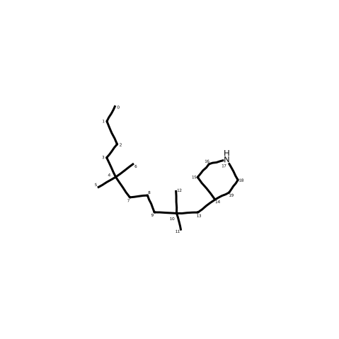 CCCCC(C)(C)CCCC(C)(C)CC1CCNCC1